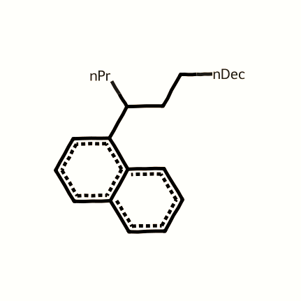 [CH2]CCC(CCCCCCCCCCCC)c1cccc2ccccc12